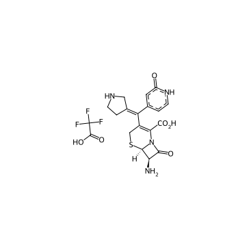 N[C@@H]1C(=O)N2C(C(=O)O)=C(/C(=C3\CCNC3)c3cc[nH]c(=O)c3)CS[C@H]12.O=C(O)C(F)(F)F